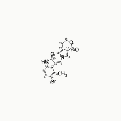 Cc1c(Br)ccc2c1C(=Cn1cc3c(c1)C(=O)OCC3)C(=O)N2